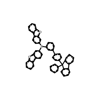 c1ccc(C2(c3ccc(-c4cccc(N(c5ccc6c(c5)oc5ccccc56)c5ccc6c(c5)oc5ccccc56)c4)cc3)c3ccccc3-c3ccccc32)cc1